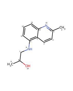 Cc1ccc2c(NCC(C)O)cccc2n1